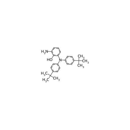 CC(C)(C)c1ccc(N(c2ccc(C(C)(C)C)cc2)c2cccc(N)c2O)cc1